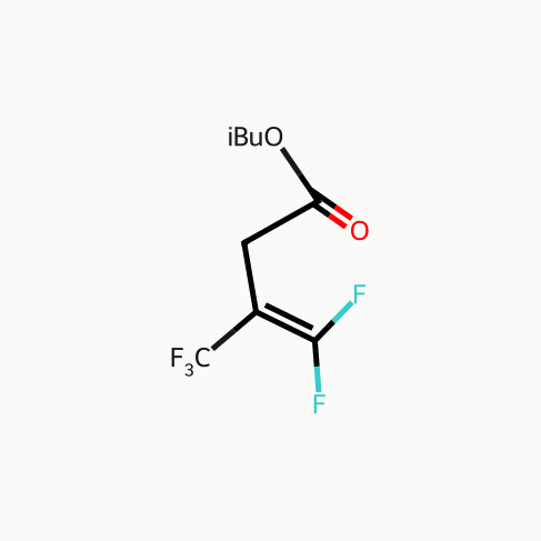 CC(C)COC(=O)CC(=C(F)F)C(F)(F)F